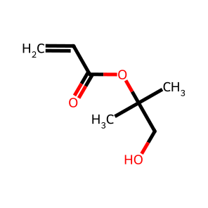 C=CC(=O)OC(C)(C)CO